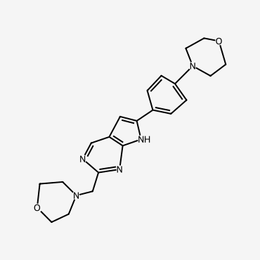 c1cc(N2CCOCC2)ccc1-c1cc2cnc(CN3CCOCC3)nc2[nH]1